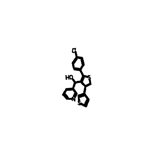 OC(C1=C(c2ccc(Cl)cc2)SCC1c1ccsc1)c1cccnc1